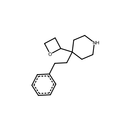 c1ccc(CCC2(C3CCO3)CCNCC2)cc1